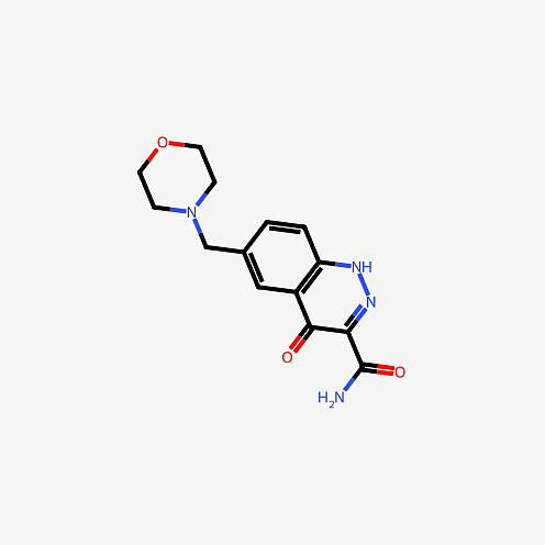 NC(=O)c1n[nH]c2ccc(CN3CCOCC3)cc2c1=O